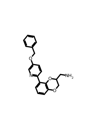 NCC1COc2cccc(-c3ccc(OCc4ccccc4)cn3)c2O1